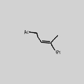 CC(=O)CC=C(C)C(C)C